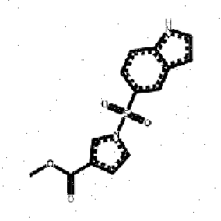 COC(=O)c1ccn(S(=O)(=O)c2ccc3[nH]ccc3c2)c1